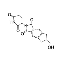 O=C1CCC(N2C(=O)c3cc4c(cc3C2=O)CC(CO)C4)C(=O)N1